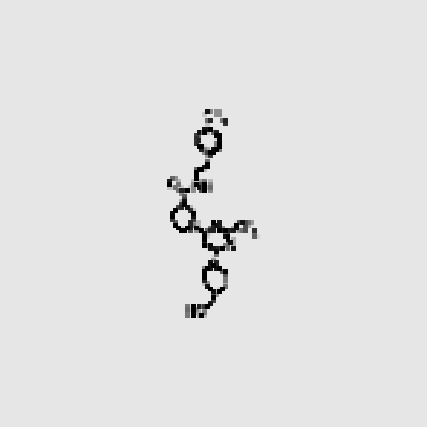 O=C(NCCc1ccc(C(F)(F)F)cc1)[C@@H]1CCCN(c2cc(N3CCC(CO)CC3)nc(C(F)(F)F)n2)C1